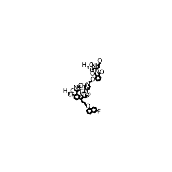 CNC(=O)C(CCC=O)N1C(=O)c2cccc(OCCN3CCN(CCn4c(C=O)c(CCCOc5cccc6cc(F)ccc56)c5ccc(Cl)c(-c6c(C)nn(C)c6C)c54)CC3)c2C1=O